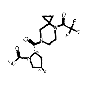 O=C([C@@H]1C[C@@H](F)CN1C(=O)O)N1CCN(C(=O)C(F)(F)F)C2(CC2)C1